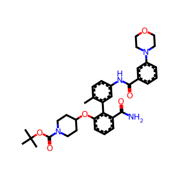 Cc1ccc(NC(=O)c2cccc(N3CCOCC3)c2)cc1-c1c(OC2CCN(C(=O)OC(C)(C)C)CC2)cccc1C(N)=O